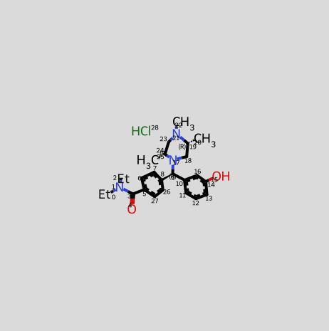 CCN(CC)C(=O)c1ccc([C@H](c2cccc(O)c2)N2C[C@@H](C)N(C)C[C@H]2C)cc1.Cl